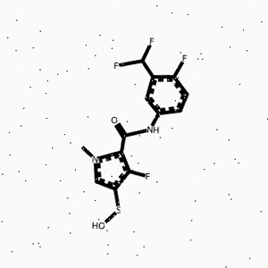 Cn1cc(SO)c(F)c1C(=O)Nc1ccc(F)c(C(F)F)c1